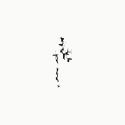 COCCOCCOCCOC(C)O[C@@H]1C2=COC(C)(C)O[C@H]2O[C@@H]1C1COC(C)(C)O1